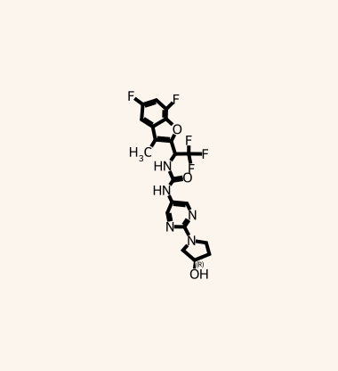 Cc1c(C(NC(=O)Nc2cnc(N3CC[C@@H](O)C3)nc2)C(F)(F)F)oc2c(F)cc(F)cc12